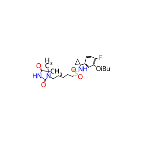 CC(C)COc1cc(C2(NS(=O)(=O)CCCCCN3C(=O)NC(=O)C3(C)C)CC2)ccc1F